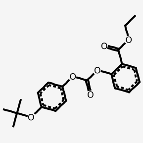 CCOC(=O)c1ccccc1OC(=O)Oc1ccc(OC(C)(C)C)cc1